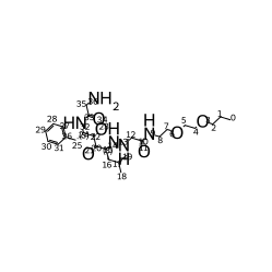 CCCOCCOCCNC(=O)CNN[C@@H](CC(C)C)C(=O)C(=O)[C@H](Cc1ccccc1)NC(=O)CN